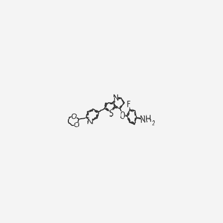 Nc1ccc(Oc2ccnc3cc(-c4ccc(C5OCCCO5)nc4)sc23)c(F)c1